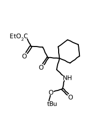 CCOC(=O)C(=O)CC(=O)C1(CNC(=O)OC(C)(C)C)CCCCC1